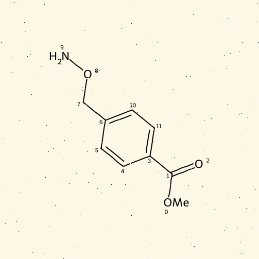 COC(=O)c1ccc(CON)cc1